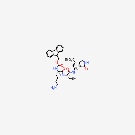 CCOC(=O)/C=C/[C@H](C[C@@H]1CCNC1=O)NC(=O)[C@H](CC(C)C)NC(=O)[C@H](CCCCN)NC(=O)OCC1c2ccccc2-c2ccccc21